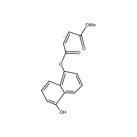 COC(=O)/C=C\C(=O)Oc1cccc2c(O)cccc12